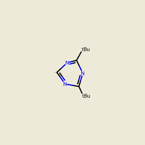 CC(C)(C)c1n[c]nc(C(C)(C)C)n1